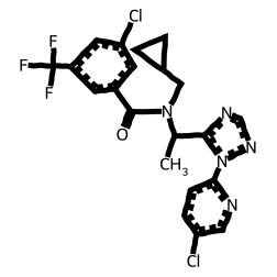 CC(c1ncnn1-c1ccc(Cl)cn1)N(CC1CC1)C(=O)c1cc(Cl)cc(C(F)(F)F)c1